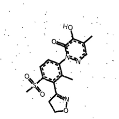 Cc1cnn(-c2ccc(S(C)(=O)=O)c(C3=NOCC3)c2C)c(=O)c1O